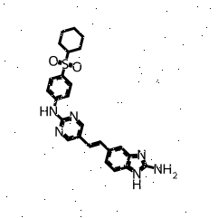 Nc1nc2cc(/C=C/c3cnc(Nc4ccc(S(=O)(=O)C5CCCCC5)cc4)nc3)ccc2[nH]1